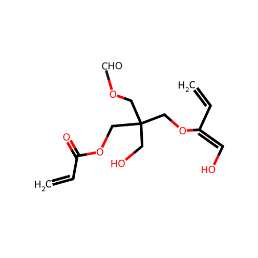 C=CC(=O)OCC(CO)(COC=O)CO/C(C=C)=C\O